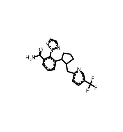 NC(=O)c1cccc(C2CCCC2Cc2ccc(C(F)(F)F)cn2)c1-n1nccn1